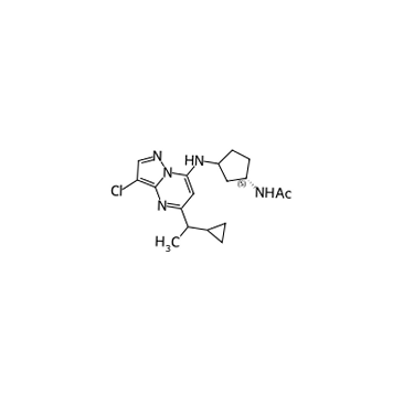 CC(=O)N[C@H]1CCC(Nc2cc(C(C)C3CC3)nc3c(Cl)cnn23)C1